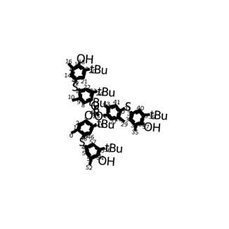 Cc1cc(OP(Oc2cc(C)c(Sc3cc(C)c(O)c(C(C)(C)C)c3)cc2C(C)(C)C)Oc2cc(C)c(Sc3cc(C)c(O)c(C(C)(C)C)c3)cc2C(C)(C)C)c(C(C)(C)C)cc1Sc1cc(C)c(O)c(C(C)(C)C)c1